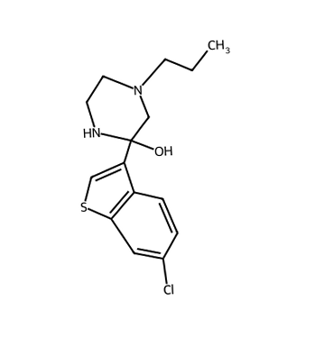 CCCN1CCNC(O)(c2csc3cc(Cl)ccc23)C1